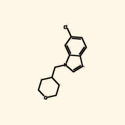 Clc1ccc2[c]cn(CC3CCOCC3)c2c1